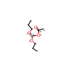 CCCO[Si](OCCC)OC(C)=O